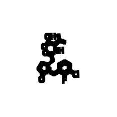 CC(C)[C@H](NC(=O)C[C@@H]1CCC(=O)N1Cc1cccc(Cl)c1F)C(=O)O